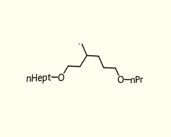 [CH2]C(CCCOCCC)CCOCCCCCCC